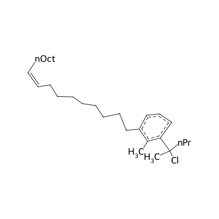 CCCCCCCC/C=C\CCCCCCCCc1cccc(C(C)(Cl)CCC)c1C